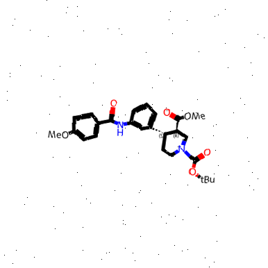 COC(=O)[C@H]1CN(C(=O)OC(C)(C)C)CC[C@@H]1c1cccc(NC(=O)c2ccc(OC)cc2)c1